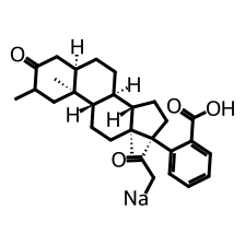 CC1C[C@@]2(C)[C@H](CC[C@@H]3[C@@H]2CC[C@@]2(C)[C@H]3CC[C@@]2(C(=O)[CH2][Na])c2ccccc2C(=O)O)CC1=O